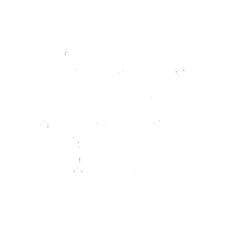 O=C(OS(=O)[O-])OS(=O)[O-].[K+].[K+]